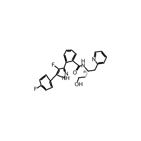 O=C(N[C@@H](CCO)Cc1ccccn1)c1ccccc1-c1n[nH]c(-c2ccc(F)cc2)c1F